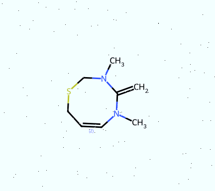 C=C1N(C)/C=C\CSCN1C